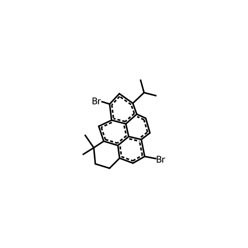 CC(C)c1cc(Br)c2cc3c4c(cc(Br)c5ccc1c2c54)CCC3(C)C